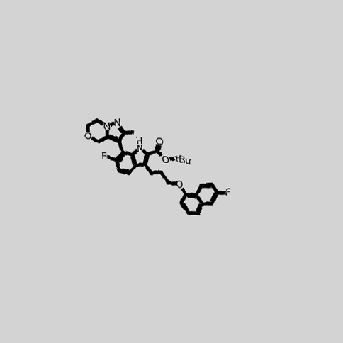 Cc1nn2c(c1-c1c(F)ccc3c(CCCOc4cccc5cc(F)ccc45)c(C(=O)OC(C)(C)C)[nH]c13)COCC2